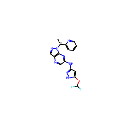 C[C@@H](c1ccccn1)n1ncc2ncc(Nc3cc(OC(F)F)[nH]n3)nc21